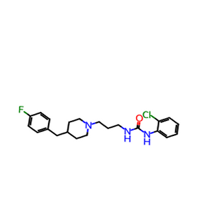 O=C(NCCCN1CCC(Cc2ccc(F)cc2)CC1)Nc1ccccc1Cl